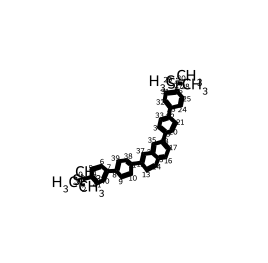 C[Si](C)(C)c1ccc(-c2ccc(-c3ccc4ccc(-c5ccc(-c6ccc([Si](C)(C)C)cc6)cc5)cc4c3)cc2)cc1